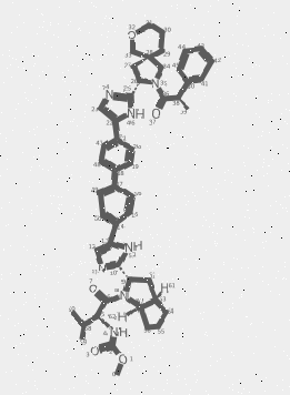 COC(=O)N[C@H](C(=O)N1[C@H](c2ncc(-c3ccc(-c4ccc(-c5cnc([C@@H]6C[C@@]7(CCCOC7)CN6C(=O)[C@H](C)c6ccccc6)[nH]5)cc4)cc3)[nH]2)C[C@@H]2CCC[C@@H]21)C(C)C